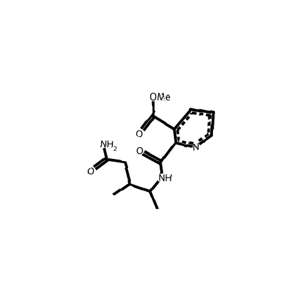 COC(=O)c1cccnc1C(=O)NC(C)C(C)CC(N)=O